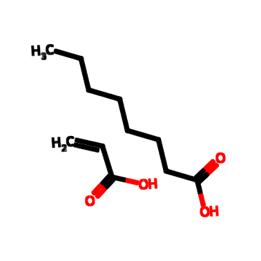 C=CC(=O)O.CCCCCCCC(=O)O